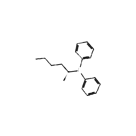 CCCC[C@H](C)P(c1ccccc1)c1ccccc1